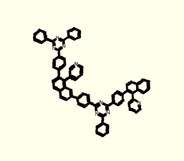 c1ccc(-c2nc(-c3ccccc3)nc(-c3ccc(-c4ccc5ccc(-c6ccc(-c7nc(-c8ccccc8)nc(-c8ccc(-c9ccc%10ccccc%10c9-c9ccccn9)cc8)n7)cc6)cc5c4-c4cccnc4)cc3)n2)cc1